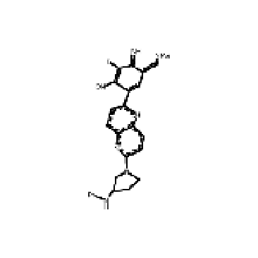 CN/C=C1/C=C(c2ccc3nc(N4CCC(NC(C)C)C4)ccc3n2)C(N=O)=C(F)C1=N